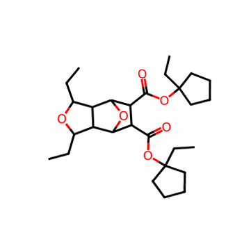 CCC1OC(CC)C2C3OC(C(C(=O)OC4(CC)CCCC4)C3C(=O)OC3(CC)CCCC3)C12